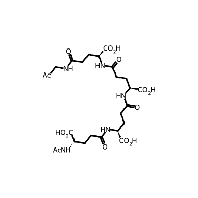 CC(=O)CNC(=O)CC[C@H](NC(=O)CC[C@H](NC(=O)CC[C@H](NC(=O)CC[C@H](NC(C)=O)C(=O)O)C(=O)O)C(=O)O)C(=O)O